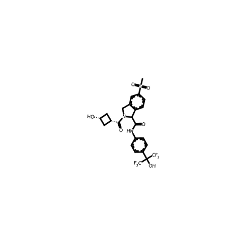 CS(=O)(=O)c1ccc2c(c1)CN(C(=O)[C@H]1C[C@@H](O)C1)C2C(=O)Nc1ccc(C(O)(C(F)(F)F)C(F)(F)F)cc1